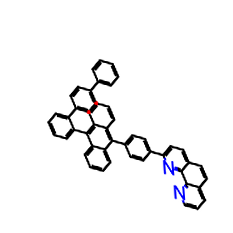 c1ccc(-c2ccc(-c3ccccc3-c3c4ccccc4c(-c4ccc(-c5ccc6ccc7cccnc7c6n5)cc4)c4ccccc34)cc2)cc1